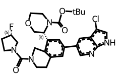 CC(C)(C)OC(=O)N1CCOC[C@H]1c1cc(-c2cnc3[nH]cc(Cl)c3c2)cc2c1CN(C(=O)N1CC[C@H](F)C1)CC2